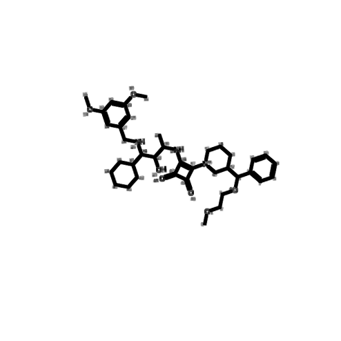 COCCOC(c1ccccc1)C1CCCN(c2c(NC(C)C(O)C(NCc3cc(OC)cc(OC)c3)C3CCCCC3)c(=O)c2=O)C1